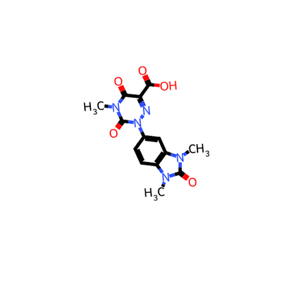 Cn1c(=O)c(C(=O)O)nn(-c2ccc3c(c2)n(C)c(=O)n3C)c1=O